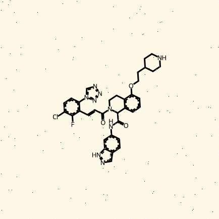 O=C(Nc1ccc2cn[nH]c2c1)C1c2cccc(OCCC3CCNCC3)c2CCN1C(=O)C=Cc1c(-n2cnnn2)ccc(Cl)c1F